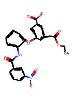 CCOC(=O)c1cc(Oc2ccccc2NC(=O)c2cccc([N+](=O)[O-])c2)cc(C(=O)O)c1